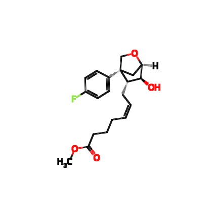 COC(=O)CCC/C=C\C[C@H]1[C@H](O)[C@H]2C[C@]1(c1ccc(F)cc1)CO2